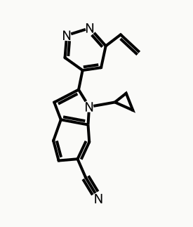 C=Cc1cc(-c2cc3ccc(C#N)cc3n2C2CC2)cnn1